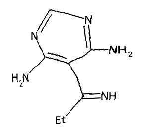 CCC(=N)c1c(N)ncnc1N